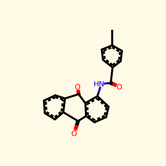 Cc1ccc(C(=O)Nc2cccc3c2C(=O)c2ccccc2C3=O)cc1